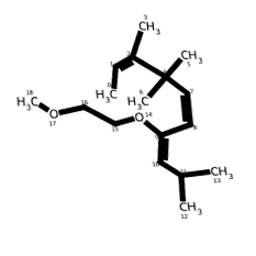 C/C=C(/C)C(C)(C)/C=C\C(=C/C(C)C)OCCOC